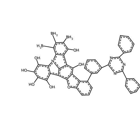 Bc1c(B)c(B)c2c(c1O)c1c(O)c3c(oc4cccc(-c5cccc(-c6nc(-c7ccccc7)nc(-c7ccccc7)n6)c5)c43)c3c4c(O)c(O)c(O)c(O)c4n2c13